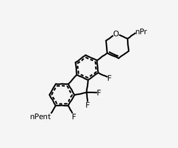 CCCCCc1ccc2c(c1F)C(F)(F)c1c-2ccc(C2=CCC(CCC)OC2)c1F